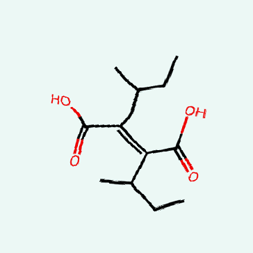 CCC(C)C(C(=O)O)=C(C(=O)O)C(C)CC